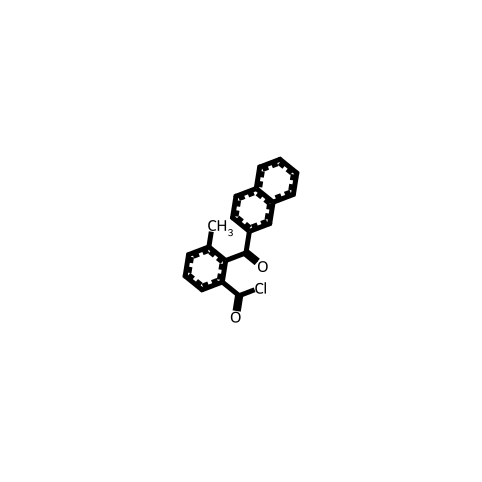 Cc1cccc(C(=O)Cl)c1C(=O)c1ccc2ccccc2c1